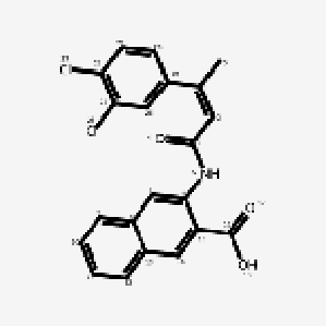 C/C(=C/C(=O)Nc1cc2ccccc2cc1C(=O)O)c1ccc(Cl)c(Cl)c1